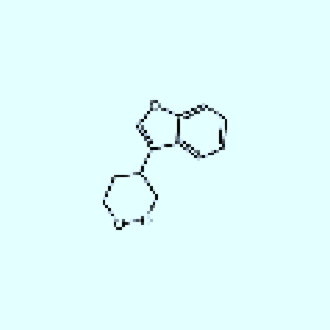 c1ccc2c(C3CCOOC3)coc2c1